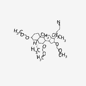 CC[C@H]1[C@@H](OCOC)C2C3C[C@H](OCOC)[C@H]([C@H](C)CCC#N)[C@@]3(C)CCC2[C@@]2(C)CC[C@@H](OCOC)C[C@@H]12